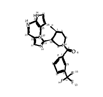 C[C@H]1CCN(C(=O)c2cccc(C(F)(F)F)c2)C[C@H]1c1ncc2cnc3[nH]ccc3n12